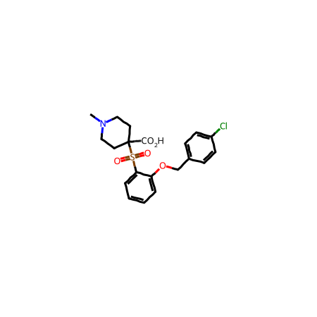 CN1CCC(C(=O)O)(S(=O)(=O)c2ccccc2OCc2ccc(Cl)cc2)CC1